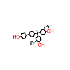 CC(C)c1cc(C(C)(c2ccc(-c3ccc(O)cc3)cc2)c2ccc(O)c(C(C)C)c2)ccc1O